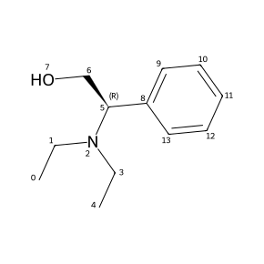 CCN(CC)[C@@H](CO)c1ccccc1